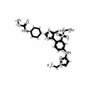 Cc1nc([C@H]2CC[C@H](NC(=O)OC(C)C)CC2)sc1-c1ccc(Nc2ccn(CC(F)(F)F)n2)cc1S(=O)(=O)NC(C)(C)C